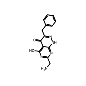 NCc1nc(O)c2c(=O)c(Cc3ccccc3)n[nH]c2n1